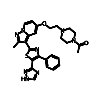 CC(=O)N1CCN(CCOc2ccn3nc(C)c(-c4nc(-c5ccccc5)c(-c5nc[nH]n5)s4)c3c2)CC1